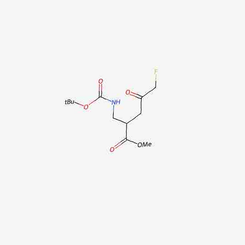 COC(=O)C(CNC(=O)OC(C)(C)C)CC(=O)CF